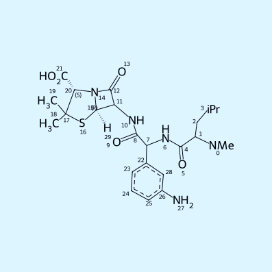 CNC(CC(C)C)C(=O)NC(C(=O)NC1C(=O)N2[C@@H]1SC(C)(C)[C@@H]2C(=O)O)c1cccc(N)c1